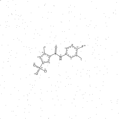 Cc1cc(NC(=O)c2cc(S(=O)(=O)Cl)sc2C)ccc1F